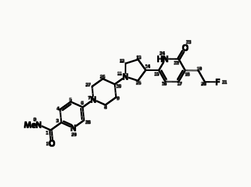 CNC(=O)c1ccc(N2CCC(N3CCC(c4ccc(CCF)c(=O)[nH]4)C3)CC2)cn1